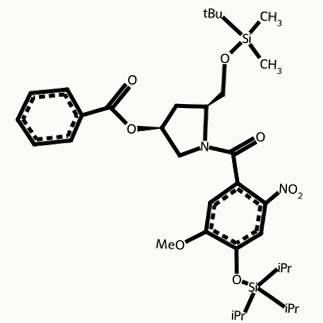 COc1cc(C(=O)N2C[C@@H](OC(=O)c3ccccc3)C[C@H]2CO[Si](C)(C)C(C)(C)C)c([N+](=O)[O-])cc1O[Si](C(C)C)(C(C)C)C(C)C